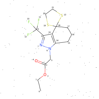 CCOC(=O)Cn1nc(C(F)(F)F)c2c1CCCC21SCCS1